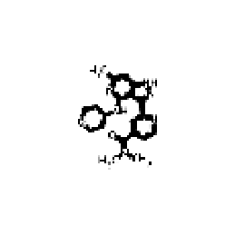 Cc1cc2[nH]nc(-c3cc(C(=O)N(C)C)ccn3)c2c(NC2CCOCC2)n1